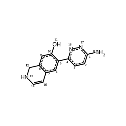 Bc1ccc(-c2cc3c(cc2O)CNC=C3)nn1